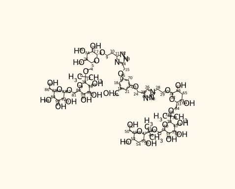 CC(C)(OC[C@H]1O[C@@H](OCCC2N=NC(COc3cc(C=O)cc(OCc4cn(CCO[C@@H]5O[C@H](COC(C)(C)[C@@H]6O[C@H](COC(C)(C)[C@@H]7O[C@H](CO)[C@@H](O)C[C@H]7O)[C@@H](O)[C@H](O)[C@H]6O)[C@@H](O)C[C@H]5O)nn4)c3)=N2)[C@H](O)[C@@H](O)[C@@H]1O)C1O[C@H](CO[C@@H]2O[C@H](CO)[C@@H](O)[C@H](O)[C@H]2O)[C@@H](O)[C@H](O)[C@H]1O